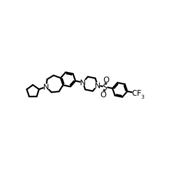 O=S(=O)(c1ccc(C(F)(F)F)cc1)N1CCN(c2ccc3c(c2)CCN(C2CCCC2)CC3)CC1